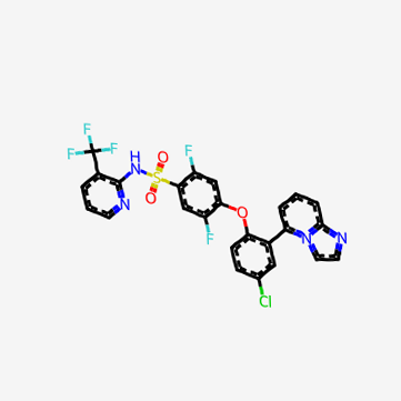 O=S(=O)(Nc1ncccc1C(F)(F)F)c1cc(F)c(Oc2ccc(Cl)cc2-c2cccc3nccn23)cc1F